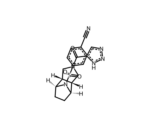 N#Cc1ccc(S(=O)(=O)N2[C@@H]3CC[C@H]2[C@@H]2CN(C(=O)c4cnn[nH]4)C[C@@H]23)cc1